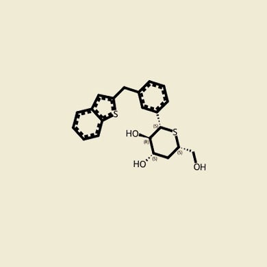 OC[C@@H]1C[C@H](O)[C@@H](O)[C@H](c2cccc(Cc3cc4ccccc4s3)c2)S1